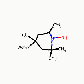 CC(=O)NC1(C)CC(C)N(O)C(C)(C)C1